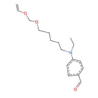 C=COCOCCCCCN(CC)c1ccc(C=O)cc1